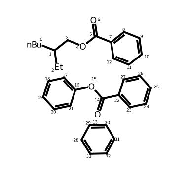 CCCCC(CC)COC(=O)c1ccccc1.O=C(Oc1ccccc1)c1ccccc1.c1ccccc1